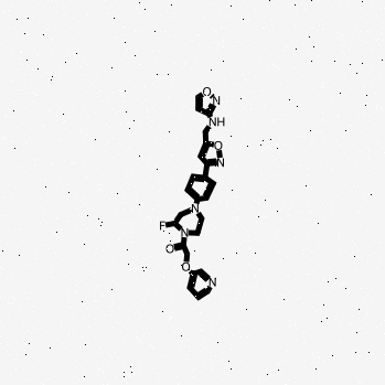 O=C(COc1cccnc1)N1CCN(c2ccc(-c3cc(CNc4ccon4)on3)cc2)CC1F